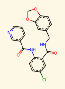 O=C(Nc1ccc(Cl)cc1C(=O)NCc1ccc2c(c1)OCO2)c1cccnc1